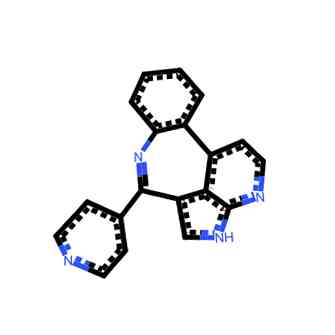 c1ccc2c(c1)N=C(c1ccncc1)c1c[nH]c3nccc-2c13